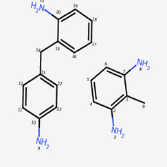 Cc1c(N)cccc1N.Nc1ccc(Cc2ccccc2N)cc1